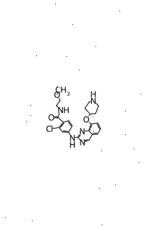 COCCNC(=O)c1ccc(Nc2ncc3cccc(OC4CCNCC4)c3n2)cc1Cl